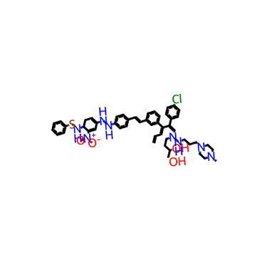 C=C/C=C(/C(=C\N(CCC(O)CO)NCCCN1CCN(C)CC1)c1ccc(Cl)cc1)c1cccc(C=Cc2ccc(NNC3=CCC(NSc4ccccc4)C([N+](=O)[O-])=C3)cc2)c1